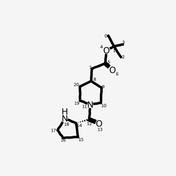 CC(C)(C)OC(=O)CC1CCN(C(=O)[C@@H]2CCCN2)CC1